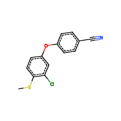 CSc1ccc(Oc2ccc(C#N)cc2)cc1Cl